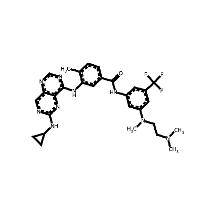 Cc1ccc(C(=O)Nc2cc(N(C)CCN(C)C)cc(C(F)(F)F)c2)cc1Nc1ncnc2cnc(NC3CC3)nc12